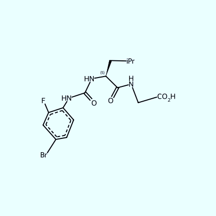 CC(C)C[C@H](NC(=O)Nc1ccc(Br)cc1F)C(=O)NCC(=O)O